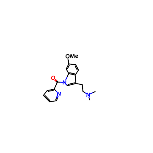 COc1ccc2c(CCN(C)C)cn(C(=O)c3ccccn3)c2c1